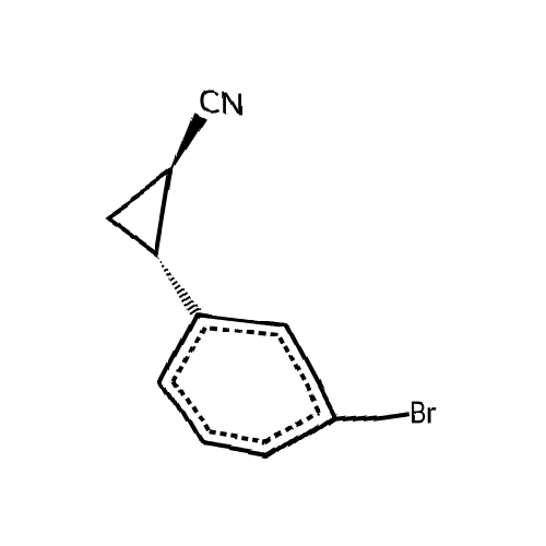 N#C[C@@H]1C[C@H]1c1cccc(Br)c1